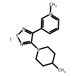 CC1CCN(c2nsnc2-c2ccc[n+](C)c2)CC1.[I-]